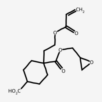 C=CC(=O)OCCC1(C(=O)OCC2CO2)CCC(C(=O)O)CC1